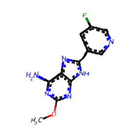 COc1nc(N)c2nc(-c3cncc(F)c3)[nH]c2n1